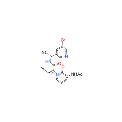 CC(=O)Nc1cccn([C@@H](CC(C)C)C(=O)NC(C#N)c2cncc(Br)c2)c1=O